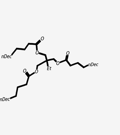 CCCCCCCCCCCCCC(=O)OCC(CC)(COC(=O)CCCCCCCCCCCCC)COC(=O)CCCCCCCCCCCCC